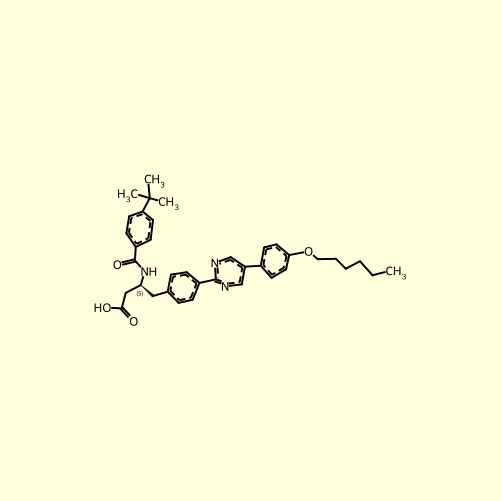 CCCCCCOc1ccc(-c2cnc(-c3ccc(C[C@@H](CC(=O)O)NC(=O)c4ccc(C(C)(C)C)cc4)cc3)nc2)cc1